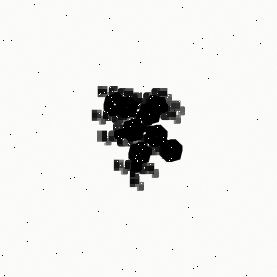 Cc1cc(C(C)(C)C)ccc1N1c2cc(-c3ccccc3)ccc2B2c3cc4c(cc3N(c3cc5c(cc3C)C(C)(C)CCC5(C)C)c3cc(C(C)(C)C)cc1c32)C(C)(C)CC4(C)C